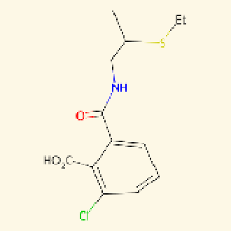 CCSC(C)CNC(=O)c1cccc(Cl)c1C(=O)O